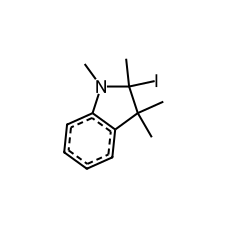 CN1c2ccccc2C(C)(C)C1(C)I